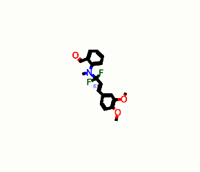 COc1ccc(/C=C/C(F)(F)N(C)c2ccccc2C=O)cc1OC